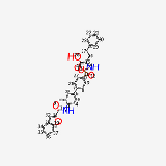 O=C(Nc1ccc(-c2ccc(S(=O)(=O)N[C@H](CCc3ccccc3)C(=O)O)cc2)cc1)c1cc2ccccc2o1